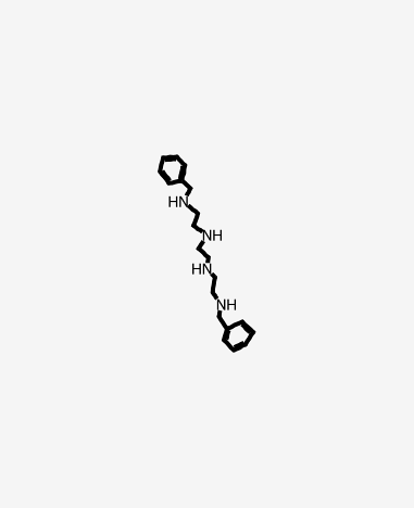 c1ccc(CNCCNCCNCCNCc2ccccc2)cc1